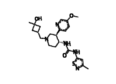 COc1ccc([C@@H]2CN(CC3CC(C)(O)C3)CC[C@H]2NC(=O)Nc2cc(C)ns2)nc1